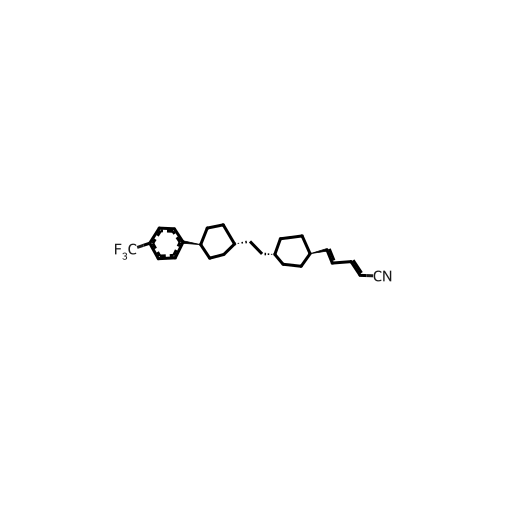 N#C/C=C/C=C/[C@H]1CC[C@H](CC[C@H]2CC[C@H](c3ccc(C(F)(F)F)cc3)CC2)CC1